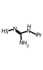 CC(C)N/C(N)=N/S